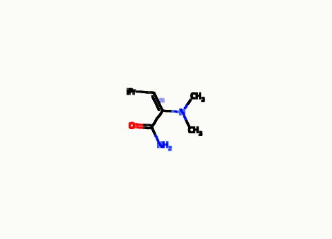 CC(C)/C=C(\C(N)=O)N(C)C